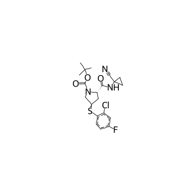 CC(C)(C)OC(=O)N1C[C@H](Sc2ccc(F)cc2Cl)C[C@H]1C(=O)NC1(C#N)CC1